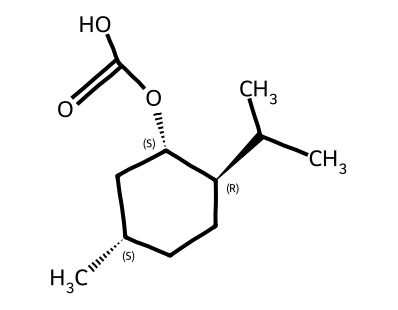 CC(C)[C@H]1CC[C@H](C)C[C@@H]1OC(=O)O